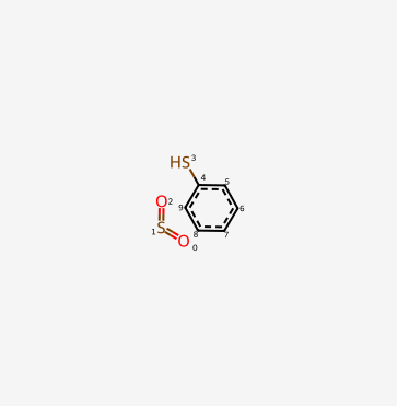 O=S=O.Sc1ccccc1